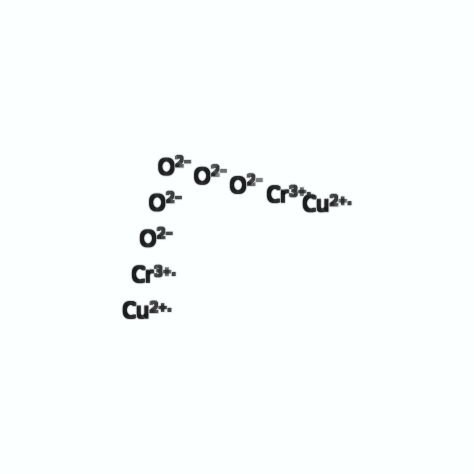 [Cr+3].[Cr+3].[Cu+2].[Cu+2].[O-2].[O-2].[O-2].[O-2].[O-2]